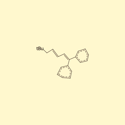 CC(C)(C)C/C=C/C=C(c1ccccc1)c1ccccc1